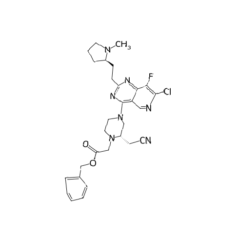 CN1CCC[C@@H]1CCc1nc(N2CCN(CC(=O)OCc3ccccc3)[C@@H](CC#N)C2)c2cnc(Cl)c(F)c2n1